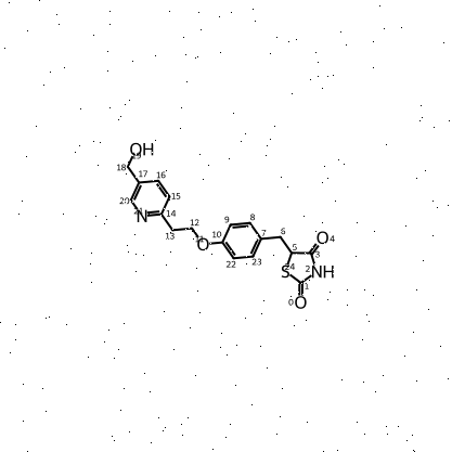 O=C1NC(=O)C(Cc2ccc(OCCc3ccc(CO)cn3)cc2)S1